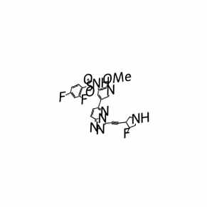 COc1ncc(-c2ccc3nnc(C#CC4CNCC4F)n3n2)cc1NS(=O)(=O)c1ccc(F)cc1F